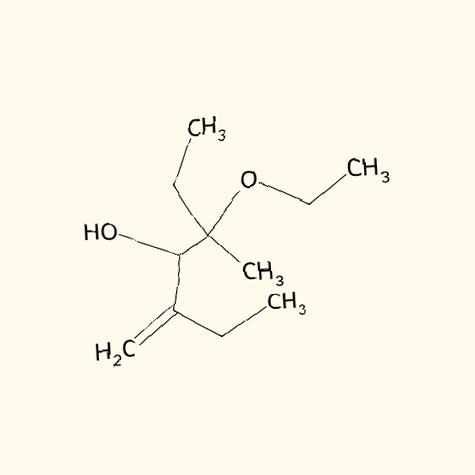 C=C(CC)C(O)C(C)(CC)OCC